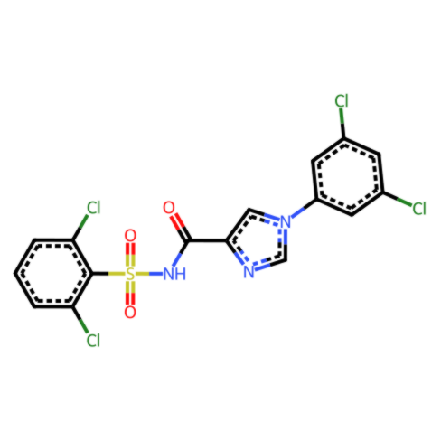 O=C(NS(=O)(=O)c1c(Cl)cccc1Cl)c1cn(-c2cc(Cl)cc(Cl)c2)cn1